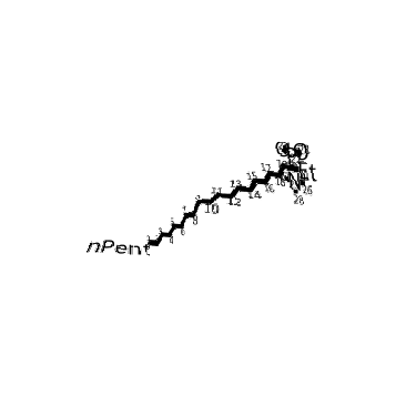 CCCCCC=CCCCCCCCCCCCCCCCCCC(CC)(P(=O)=O)[N+](C)(C)C